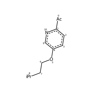 CC(=O)c1ccc(OCCC(C)C)cn1